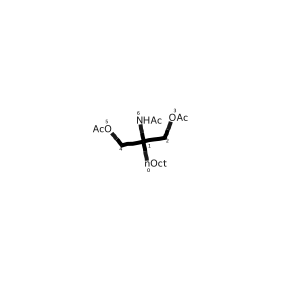 CCCCCCCCC(COC(C)=O)(COC(C)=O)NC(C)=O